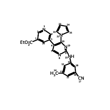 CCOC(=O)c1cncc(-c2cnc(Nc3cc(C)cc(C#N)c3)nc2-n2cccc2)c1